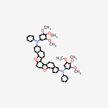 COc1cc(N(c2ccccc2)c2ccc3c(ccc4c3oc3ccc5oc6c7ccc(N(c8ccccc8)c8cc(OC)c(OC)c(OC)c8)cc7ccc6c5c34)c2)cc(OC)c1OC